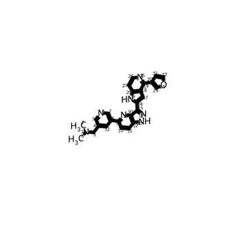 CN(C)Cc1cncc(-c2ccc3[nH]nc(-c4cc5c(-c6ccoc6)nccc5[nH]4)c3n2)c1